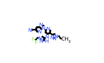 CCCn1cc(-c2cnc(-n3cnc4cc(C#N)cnc43)cc2Nc2cnn(CC(F)F)c2)nn1